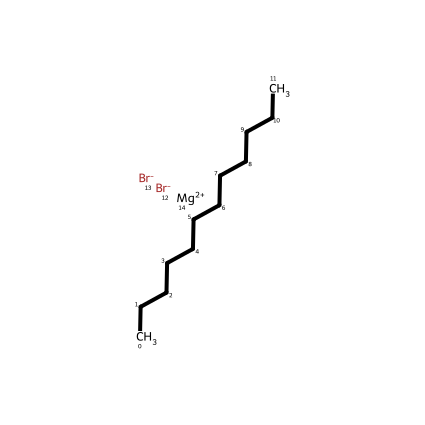 CCCCCCCCCCCC.[Br-].[Br-].[Mg+2]